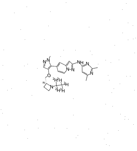 [2H]C([2H])([2H])C([2H])([2H])N1CC[C@@H]1COc1cnn(C)c1-c1ccn2nc(Nc3cc(C)nc(C)n3)cc2c1